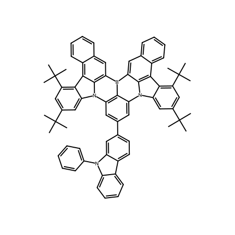 CC(C)(C)c1cc(C(C)(C)C)c2c3c4ccccc4cc4c3n(c2c1)-c1cc(-c2ccc3c5ccccc5n(-c5ccccc5)c3c2)cc2c1B4c1cc3ccccc3c3c4c(C(C)(C)C)cc(C(C)(C)C)cc4n-2c13